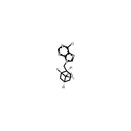 CC1(C)[C@H]2CC[C@H](Cn3cnc4c(Cl)ncnc43)[C@H]1C2